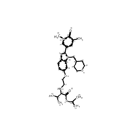 Cc1cc(-c2nc3ccc(OCCNC(C(=O)OC(C)C)C(C)O)cc3n2CC2CCOCC2)cn(C)c1=O